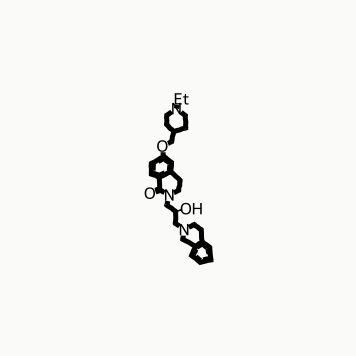 CCN1CCC(COc2ccc3c(c2)CCN(C[C@H](O)CN2CCc4ccccc4C2)C3=O)CC1